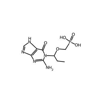 CCC(OCP(=O)(O)O)n1c(N)nc2nc[nH]c2c1=O